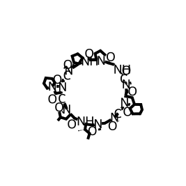 CC[C@H](C)C1NC(=O)C(CC(C)C)N(C)C(=O)CC(C(=O)N2CCCCC2)N(C)C(=O)CN(C)C(=O)C2(CCCC2)NC(=O)C2CCCN2C(=O)CNC(=O)CN(C)C(=O)C(CC2CCCCC2)N(C)C(=O)CN(C)C(=O)CN(C)C1=O